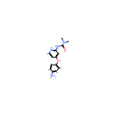 CN(C)C(=O)Nc1cc(Oc2ccc(N)cc2)ccn1